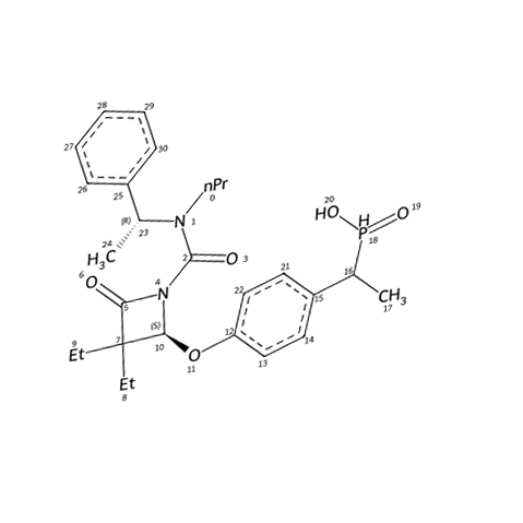 CCCN(C(=O)N1C(=O)C(CC)(CC)[C@@H]1Oc1ccc(C(C)[PH](=O)O)cc1)[C@H](C)c1ccccc1